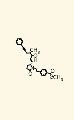 COC(=O)c1ccc(CCN2C(=O)CC[C@@H]2/C=C/C(O)C(C)CC#Cc2ccccc2)cc1